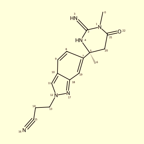 CN1C(=N)N[C@](C)(c2ccc3cn(CCC#N)nc3c2)CC1=O